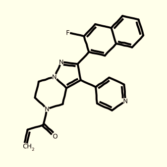 C=CC(=O)N1CCn2nc(-c3cc4ccccc4cc3F)c(-c3ccncc3)c2C1